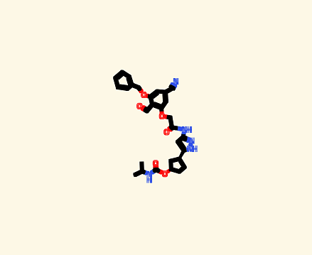 CC(C)NC(=O)O[C@@H]1CC[C@H](c2cc(NC(=O)COc3cc(C#N)cc(OCc4ccccc4)c3C=O)n[nH]2)C1